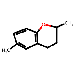 Cc1ccc2c(c1)[CH]CC(C)O2